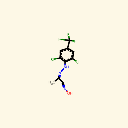 CC(C=NO)=NNc1c(Cl)cc(C(F)(F)F)cc1Cl